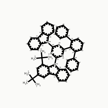 CC(C)(C)c1cc(C(C)(C)C)c2c(c1)c1ccccc1n2-c1nc(-c2c(-c3ccccc3)cccc2-c2ccccc2)nc(-n2c3ccccc3c3ccccc32)n1